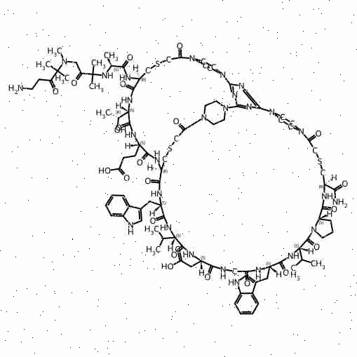 CC(C)[C@@H]1NC(=O)[C@H](Cc2c[nH]c3ccccc23)NC(=O)[C@@H]2CSCC(=O)N3CCN(CC3)c3nc(nc(n3)N3CCN(CC3)C(=O)CSC[C@H](NC(=O)[C@H](C)NC(C)(C)C(=O)CN(C)C(C)(C)C(=O)CCN)C(=O)N[C@@H]([C@@H](C)O)C(=O)N[C@@H](CCC(=O)O)C(=O)N2)N2CCN(CC2)C(=O)CSC[C@@H](C(N)=O)NC(=O)[C@@H]2CCCN2C(=O)[C@H](C(C)C)NC(=O)[C@H](Cc2c[nH]c3ccccc23)NC(=O)CNC(=O)[C@H](CC(=O)O)NC1=O